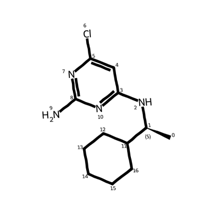 C[C@H](Nc1cc(Cl)nc(N)n1)C1CCCCC1